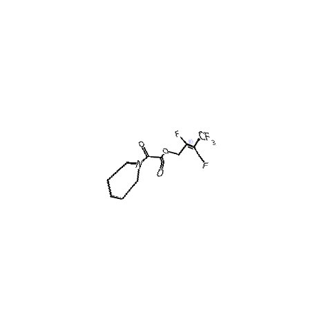 O=C(OC/C(F)=C(\F)C(F)(F)F)C(=O)N1CCCCC1